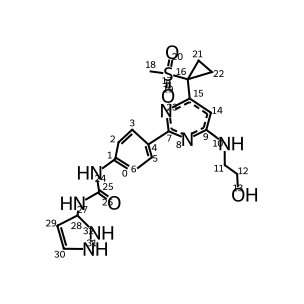 C=C(/C=C\C(=C/C)c1nc(NCCO)cc(C2(S(C)(=O)=O)CC2)n1)NC(=O)NC1C=CNN1